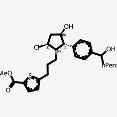 CCCCCC(O)c1ccc([C@@H]2[C@@H](CCCc3ccc(C(=O)OC)s3)[C@@H](Cl)C[C@H]2O)cc1